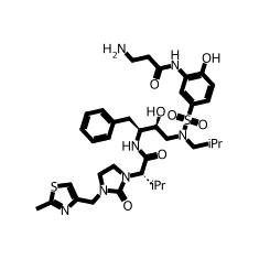 Cc1nc(CN2CCN([C@H](C(=O)N[C@@H](Cc3ccccc3)[C@@H](O)CN(CC(C)C)S(=O)(=O)c3ccc(O)c(NC(=O)CCN)c3)C(C)C)C2=O)cs1